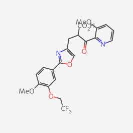 COc1ccc(-c2nc(CC(C(=O)O)C(=O)c3ncccc3OC)co2)cc1OCC(F)(F)F